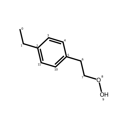 CCc1ccc(CCOO)cc1